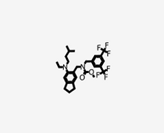 CCN(CCC(C)C)c1cc2c(cc1CN(Cc1cc(C(F)(F)F)cc(C(F)(F)F)c1)C(=O)OC)CCC2